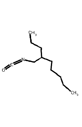 CCCCCC(CCC)CN=C=O